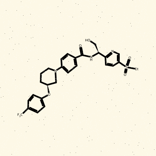 CCS(=O)(=O)c1ccc([C@H](CO)NC(=O)c2ccc(N3CCC[C@H](Oc4ccc(C(F)(F)F)cc4)C3)cc2)nc1